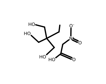 CCC(CO)(CO)CO.O=C(O)C[N+](=O)[O-]